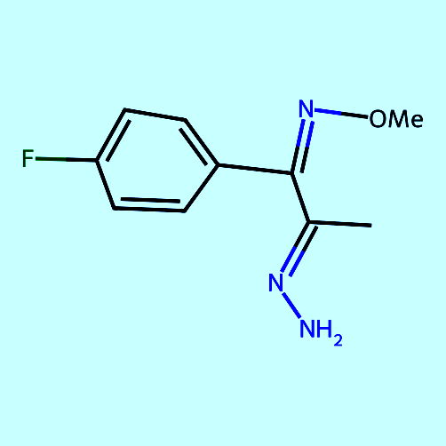 CON=C(C(C)=NN)c1ccc(F)cc1